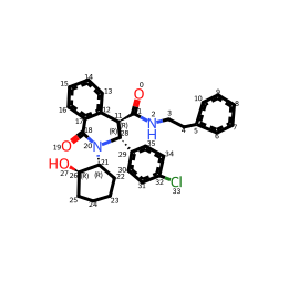 O=C(NCCc1ccccc1)[C@@H]1c2ccccc2C(=O)N([C@@H]2CCCC[C@H]2O)[C@H]1c1ccc(Cl)cc1